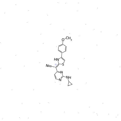 COc1ccc(C2=CS/C(=C(/C#N)c3ccnc(NC4CC4)n3)N2)cc1